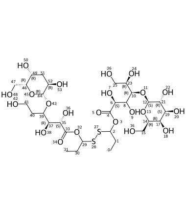 CCC(OC(=O)[C@@H](O)C(O)[C@H](O[C@@H]1O[C@H](CO)[C@H](O)[C@H](O)[C@H]1O)[C@H](O)CO)SSC(CC)OC(=O)[C@@H](O)[C@@H](O)C(CCO)O[C@@H]1O[C@H](CO)[C@H](O)C[C@H]1O